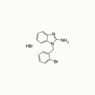 Br.Nc1nc2ccccc2n1Cc1ccccc1Br